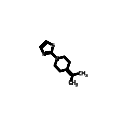 CC(C)=C1CCN(c2nccs2)CC1